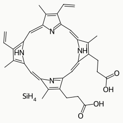 C=CC1=C(C)c2cc3[nH]c(cc4nc(cc5[nH]c(cc1n2)c(C)c5CCC(=O)O)C(CCC(=O)O)=C4C)c(C)c3C=C.[SiH4]